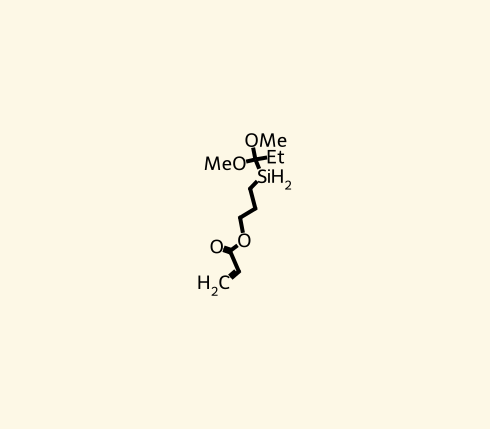 C=CC(=O)OCCC[SiH2]C(CC)(OC)OC